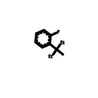 CCC(C)(CC)c1ccccc1F